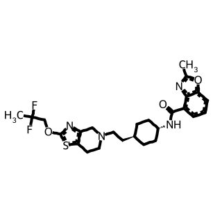 Cc1nc2c(C(=O)N[C@H]3CC[C@H](CCN4CCc5sc(OCC(C)(F)F)nc5C4)CC3)cccc2o1